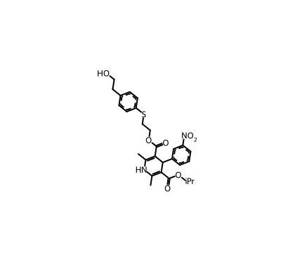 CC1=C(C(=O)OCCSc2ccc(CCO)cc2)C(c2cccc([N+](=O)[O-])c2)C(C(=O)OC(C)C)=C(C)N1